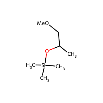 COCC(C)O[Si](C)(C)C